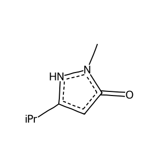 CC(C)c1cc(=O)n(C)[nH]1